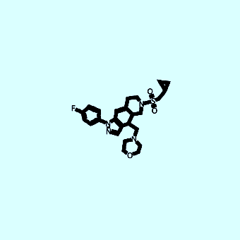 O=S(=O)(CC1CC1)N1CCC2=Cc3c(cnn3-c3ccc(F)cc3)C(CN3CCOCC3)C2C1